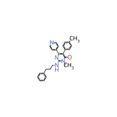 Cc1ccc(-c2c(-c3ccncc3)nc(NCCCc3ccccc3)n(C)c2=O)cc1